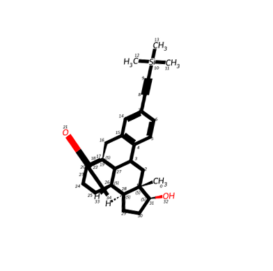 C[C@]12CC3c4ccc(C#C[Si](C)(C)C)cc4C[C@]45CCC(=O)C=C4CC[C@H](C35)[C@@H]1CC[C@@H]2O